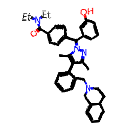 CCN(CC)C(=O)c1ccc(C(c2cccc(O)c2)n2nc(C)c(-c3ccccc3CN3CCC4C=CC=CC4C3)c2C)cc1